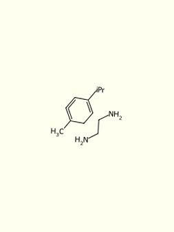 CC1=C=CC(C(C)C)=CC1.NCCN